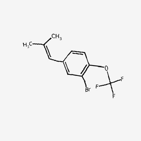 CC(C)=Cc1ccc(OC(F)(F)F)c(Br)c1